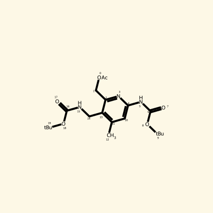 CC(=O)OCc1nc(NC(=O)OC(C)(C)C)cc(C)c1CNC(=O)OC(C)(C)C